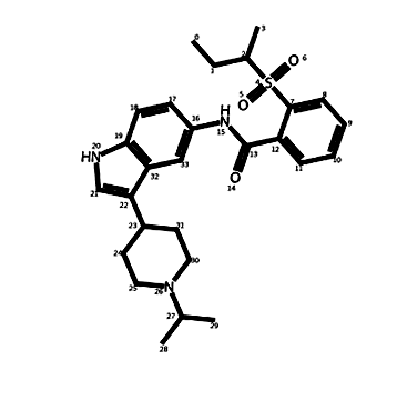 CCC(C)S(=O)(=O)c1ccccc1C(=O)Nc1ccc2[nH]cc(C3CCN(C(C)C)CC3)c2c1